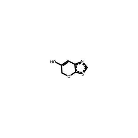 OC1=Cc2ncsc2OC1